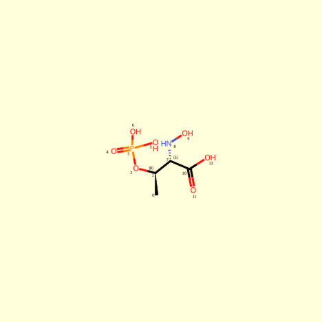 C[C@@H](OP(=O)(O)O)[C@H](NO)C(=O)O